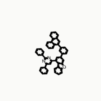 c1ccc(-c2cc(-c3cc(-c4cccc(-c5cc6ccccc6c6ccccc56)c4)cc4oc5ccccc5c34)nc(-c3ccccc3)n2)cc1